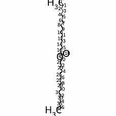 CCCCC=CC=CC=CCCCCCCCC(=O)OCCCCCCCCCCCCCCCCCC